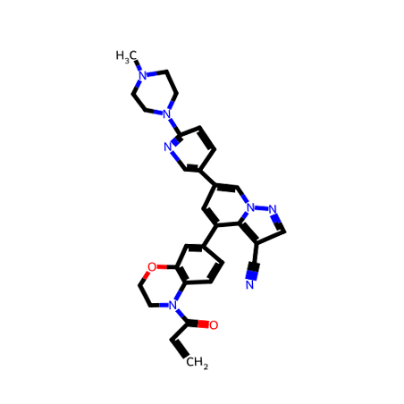 C=CC(=O)N1CCOc2cc(-c3cc(-c4ccc(N5CCN(C)CC5)nc4)cn4ncc(C#N)c34)ccc21